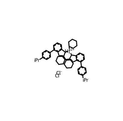 CC(C)c1ccc(-c2cccc3c2C=C(C2CCCCC2)[CH]3[Hf+2]2([CH]3C(C4CCCCC4)=Cc4c(-c5ccc(C(C)C)cc5)cccc43)[CH]3CCCC[CH]32)cc1.[Cl-].[Cl-]